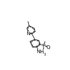 Cc1ccc(-c2ccc(N)c(P(C)(C)=O)c2)nc1